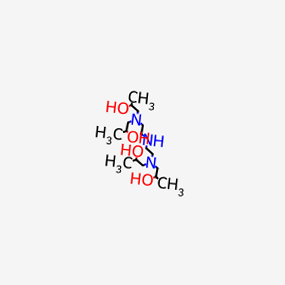 CC(O)CN(CCNCCN(CC(C)O)CC(C)O)CC(C)O